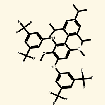 COc1cc(Pc2cc(C(F)(F)F)cc(C(F)(F)F)c2)c(OC)c(Pc2cc(C(F)(F)F)cc(C(F)(F)F)c2)c1-c1c(C(C)C)cc(C(C)C)cc1C(C)C